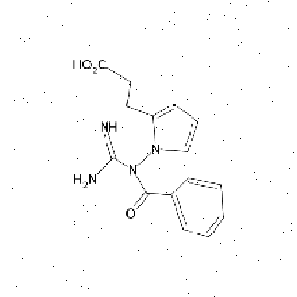 N=C(N)N(C(=O)c1ccccc1)n1cccc1CCC(=O)O